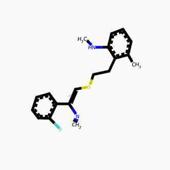 C=N/C(=C\SCCc1c(C)cccc1NC)c1ccccc1F